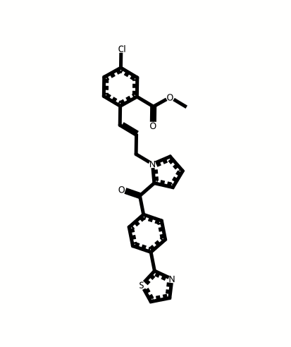 COC(=O)c1cc(Cl)ccc1C=CCn1cccc1C(=O)c1ccc(-c2nccs2)cc1